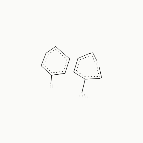 CC(C)(C)c1cc[c]cc1.COc1cc[c]cc1